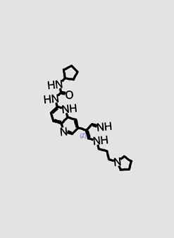 N=C/C(=C\NCCCN1CCCC1)C1=CC2NC(NC(=O)NC3CCCC3)=CC=C2N=C1